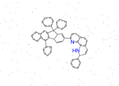 C1=CC2c3c(cc4ccccc4c3-c3ccccc3)C(c3ccccc3)(c3ccccc3)C2C=C1c1ccc2ccc3c(c2n1)NC(c1ccccc1)C=C3